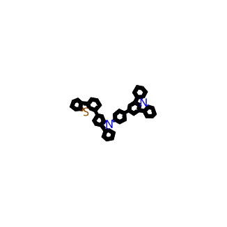 c1ccc2c(c1)sc1c(-c3ccc4c5ccccc5n(-c5ccc(-c6cc7c8ccccc8n8c9ccccc9c(c6)c78)cc5)c4c3)cccc12